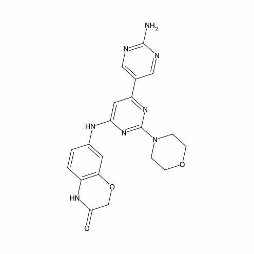 Nc1ncc(-c2cc(Nc3ccc4c(c3)OCC(=O)N4)nc(N3CCOCC3)n2)cn1